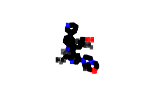 CCn1c(-c2cc(N3CCN4CCOC[C@@H]4C3)cnc2[C@H](C)OC)c(CC(C)(C)CO)c2cc(C3=CCC=NC3)ccc21